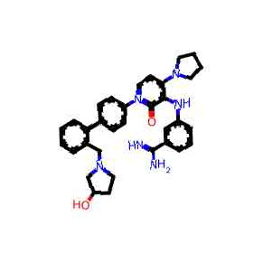 N=C(N)c1cccc(Nc2c(N3CCCC3)ccn(-c3ccc(-c4ccccc4CN4CCC(O)C4)cc3)c2=O)c1